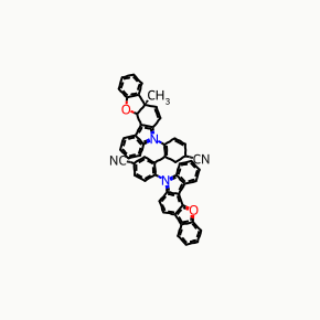 C[C@@]12C=Cc3c(c4ccccc4n3C3=C(c4cc(C#N)ccc4-n4c5ccccc5c5c6oc7ccccc7c6ccc54)CC(C#N)C=C3)C1Oc1ccccc12